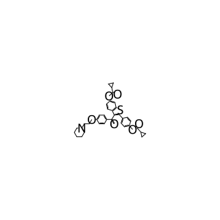 O=C(c1ccc(OCCN2CCCCC2)cc1)c1c(-c2ccc(OC(=O)C3CC3)cc2)sc2cc(OC(=O)C3CC3)ccc12